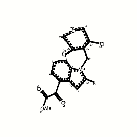 COC(=O)C(=O)c1cccc2c1cc(C)n2Cc1c(Cl)cccc1Cl